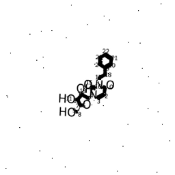 O=c1ccn([C@@H]2O[C@H](CO)C(O)C2O)c(=O)n1CCc1ccccc1